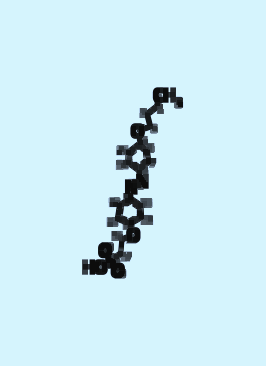 CCCCOc1ccc(N=Nc2ccc(OCCS(=O)(=O)O)cc2)cc1